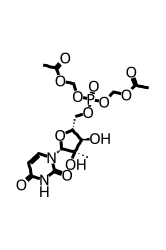 CC(=O)OCOP(=O)(OCOC(C)=O)OC[C@H]1O[C@@H](n2ccc(=O)[nH]c2=O)[C@](C)(O)[C@@H]1O